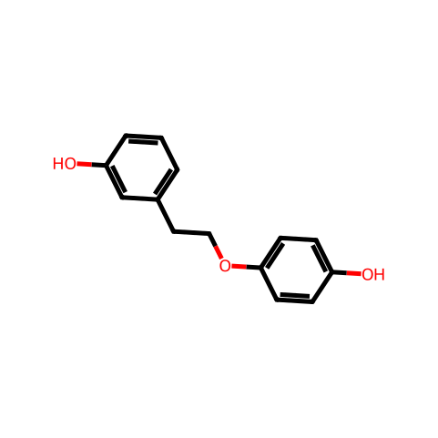 Oc1ccc(OCCc2cccc(O)c2)cc1